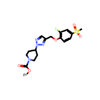 CC(C)OC(=O)N1CCC(n2ncc(COc3ccc(S(C)(=O)=O)cc3F)n2)CC1